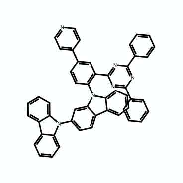 c1ccc(-c2nc(-c3ccccc3)nc(-c3cc(-c4ccncc4)ccc3-n3c4ccccc4c4ccc(-n5c6ccccc6c6ccccc65)cc43)n2)cc1